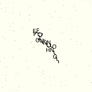 CCCCOCCCNC(=O)c1ccc(N2CCN(C(=O)c3cccc(C(F)(F)F)c3)CC2)nc1